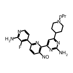 CCCN1CCC(c2cc(-c3nc(-c4ccnc(N)c4F)ccc3N=O)nc(N)n2)CC1